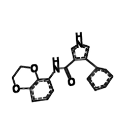 O=C(Nc1cccc2c1OCCO2)c1c[nH]cc1-c1ccccc1